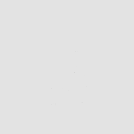 C=CC(=O)OC.C=CC(=O)OCC.C=Cc1ccccc1